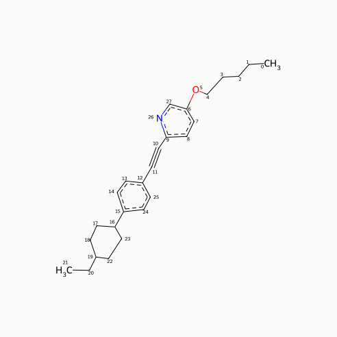 CCCCCOc1ccc(C#Cc2ccc(C3CCC(CC)CC3)cc2)nc1